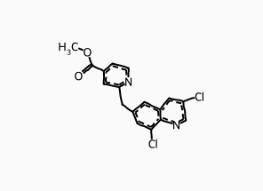 COC(=O)c1ccnc(Cc2cc(Cl)c3ncc(Cl)cc3c2)c1